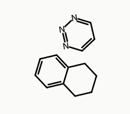 c1ccc2c(c1)CCCC2.c1cnnnc1